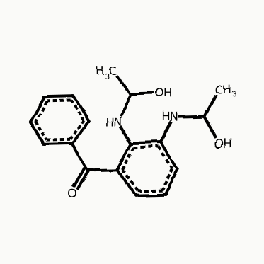 CC(O)Nc1cccc(C(=O)c2ccccc2)c1NC(C)O